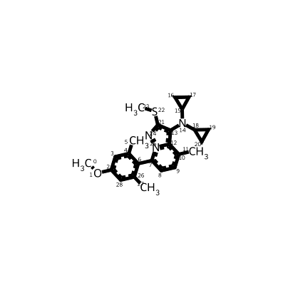 COc1cc(C)c(-c2ccc(C)c3c(N(C4CC4)C4CC4)c(SC)nn23)c(C)c1